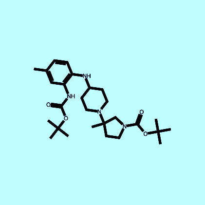 Cc1ccc(NC2CCN(C3(C)CCN(C(=O)OC(C)(C)C)C3)CC2)c(NC(=O)OC(C)(C)C)c1